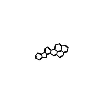 c1ccc2c(c1)Cc1c-2ccc2c1cc1ccc3cccc4ccc2c1c34